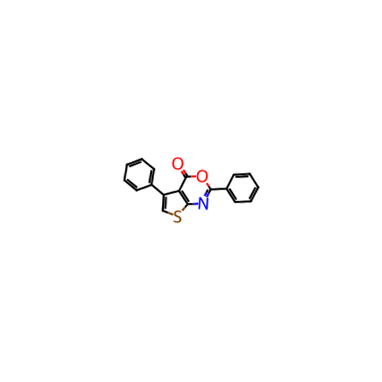 O=c1oc(-c2ccccc2)nc2scc(-c3ccccc3)c12